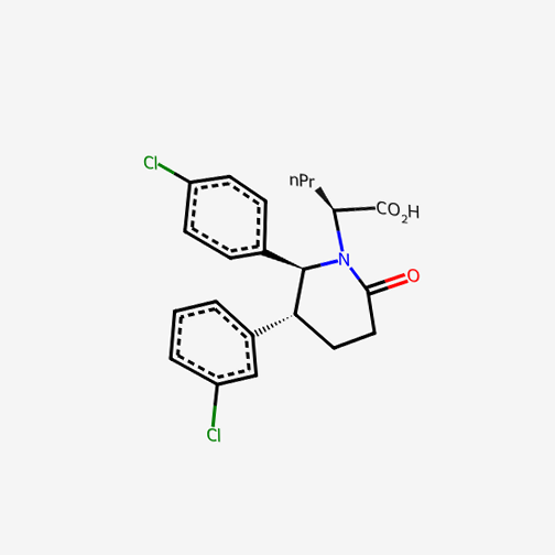 CCC[C@@H](C(=O)O)N1C(=O)CC[C@H](c2cccc(Cl)c2)[C@H]1c1ccc(Cl)cc1